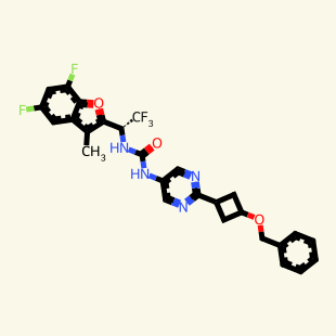 Cc1c([C@@H](NC(=O)Nc2cnc(C3CC(OCc4ccccc4)C3)nc2)C(F)(F)F)oc2c(F)cc(F)cc12